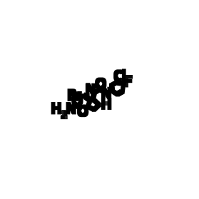 Cn1c(Br)c2c(c1C(=O)Nc1ccc(F)c(Cl)c1)CCC2OC(N)=O